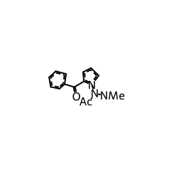 CNN(C(C)=O)n1cccc1C(=O)c1ccccc1